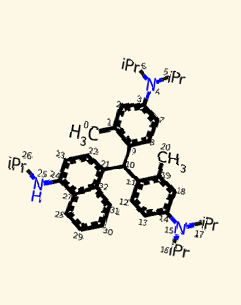 Cc1cc(N(C(C)C)C(C)C)ccc1C(c1ccc(N(C(C)C)C(C)C)cc1C)c1ccc(NC(C)C)c2ccccc12